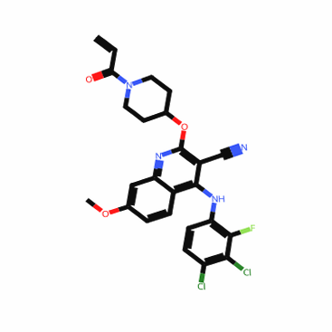 C=CC(=O)N1CCC(Oc2nc3cc(OC)ccc3c(Nc3ccc(Cl)c(Cl)c3F)c2C#N)CC1